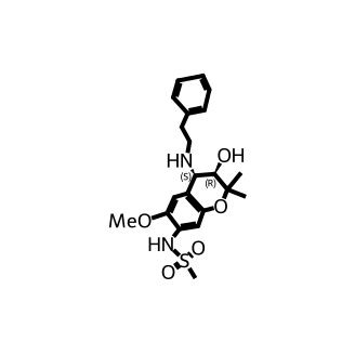 COc1cc2c(cc1NS(C)(=O)=O)OC(C)(C)[C@H](O)[C@H]2NCCc1ccccc1